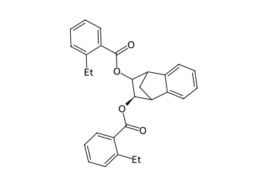 CCc1ccccc1C(=O)OC1C2CC(c3ccccc32)[C@H]1OC(=O)c1ccccc1CC